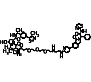 Cc1ncsc1-c1ccc([C@H](C)NC(=O)[C@@H]2C[C@@H](O)CN2C(=O)[C@@H](NC(=O)CCOCCOCCOCCNCCNc2ccc(-c3ccc4c(c3)C(=O)N(C(C(=O)Nc3nccs3)c3ccccc3)C4)cn2)C(C)(C)C)cc1